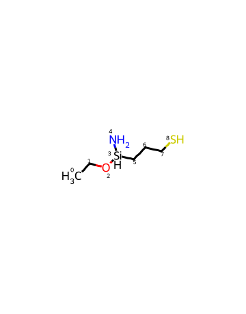 CCO[SiH](N)CCCS